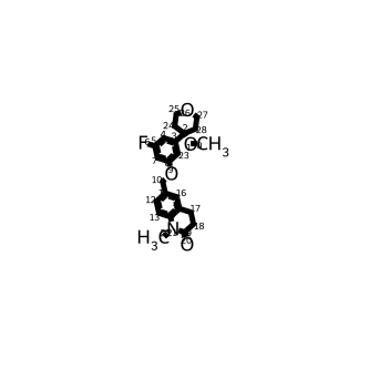 COC1(c2cc(F)cc(OCc3ccc4c(c3)CCC(=O)N4C)c2)CCOCC1